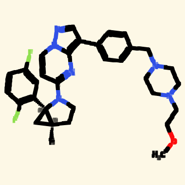 COCCN1CCN(Cc2ccc(-c3cnn4ccc(N5CC[C@H]6C[C@]65c5cc(F)ccc5F)nc34)cc2)CC1